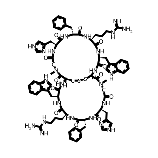 CN1CC(=O)N[C@@H](Cc2c[nH]cn2)C(=O)N[C@H](Cc2ccccc2)C(=O)N[C@@H](CCCNC(=N)N)C(=O)N[C@@H](Cc2c[nH]c3ccccc23)C(=O)N[C@H]2SSC[C@H](NC(=O)[C@H](Cc3c[nH]c4ccccc34)NC(=O)[C@H](CCCNC(=N)N)NC(=O)[C@@H](Cc3ccccc3)NC(=O)[C@H](Cc3c[nH]cn3)NC(=O)CN(C)C2=O)C1=O